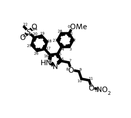 COc1ccc(-c2c(COCCCO[N+](=O)[O-])n[nH]c2-c2ccc(S(C)(=O)=O)cc2)cc1